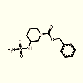 NS(=O)(=O)NC1CCCN(C(=O)OCc2ccccc2)C1